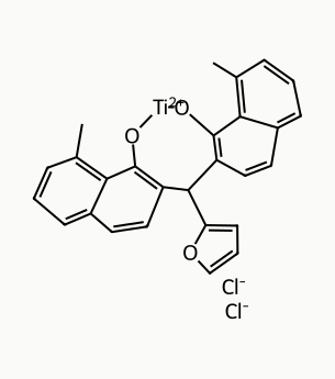 Cc1cccc2ccc3c(c12)[O][Ti+2][O]c1c(ccc2cccc(C)c12)C3c1ccco1.[Cl-].[Cl-]